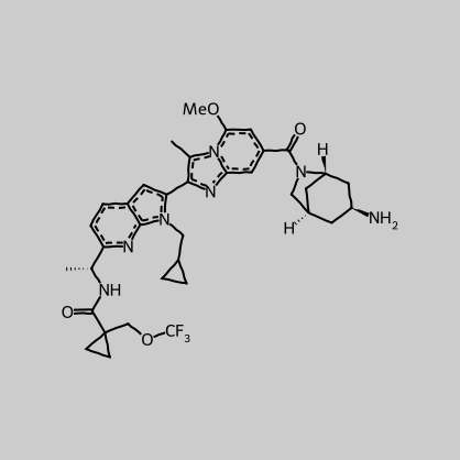 COc1cc(C(=O)N2C[C@@H]3C[C@H](N)C[C@@H]2C3)cc2nc(-c3cc4ccc([C@@H](C)NC(=O)C5(COC(F)(F)F)CC5)nc4n3CC3CC3)c(C)n12